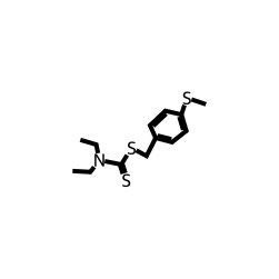 CCN(CC)C(=S)SCc1ccc(SC)cc1